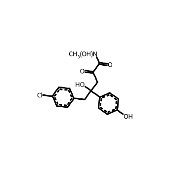 CN(O)C(=O)C(=O)CC(O)(Cc1ccc(Cl)cc1)c1ccc(O)cc1